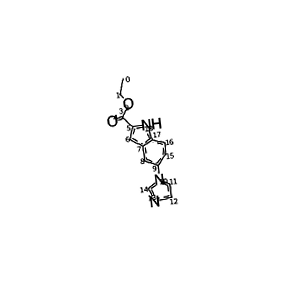 CCOC(=O)c1cc2cc(-n3ccnc3)ccc2[nH]1